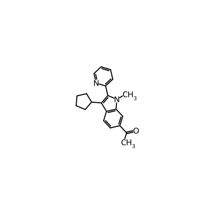 CC(=O)c1ccc2c(C3CCCC3)c(-c3ccccn3)n(C)c2c1